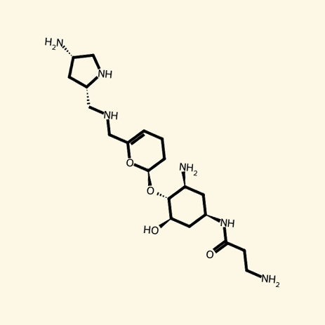 NCCC(=O)N[C@H]1C[C@@H](O)[C@H](O[C@@H]2CCC=C(CNC[C@@H]3C[C@H](N)CN3)O2)[C@@H](N)C1